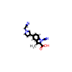 Cc1c(C(=O)O)n(C#N)c2ccc(C3CCN(CC#N)C3)cc12